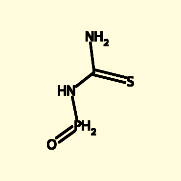 NC(=S)N[PH2]=O